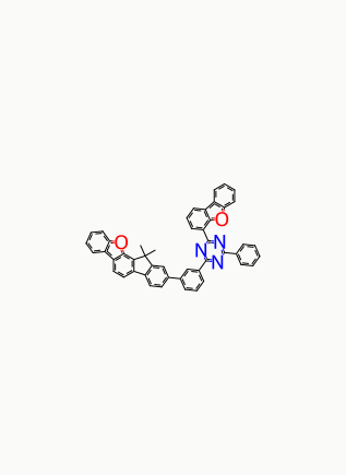 CC1(C)c2cc(-c3cccc(-c4nc(-c5ccccc5)nc(-c5cccc6c5oc5ccccc56)n4)c3)ccc2-c2ccc3c(oc4ccccc43)c21